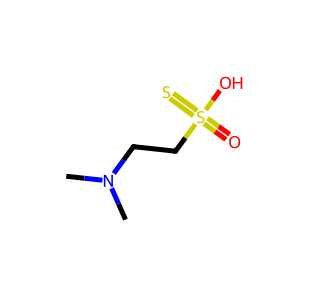 CN(C)CCS(=O)(O)=S